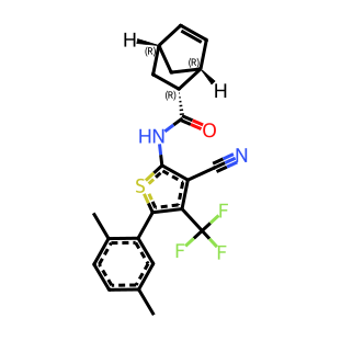 Cc1ccc(C)c(-c2sc(NC(=O)[C@@H]3C[C@@H]4C=C[C@H]3C4)c(C#N)c2C(F)(F)F)c1